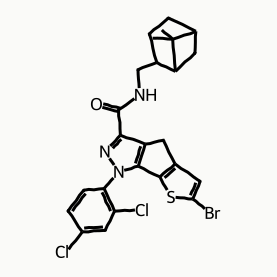 CC1(C)C2CCC(CNC(=O)c3nn(-c4ccc(Cl)cc4Cl)c4c3Cc3cc(Br)sc3-4)C1C2